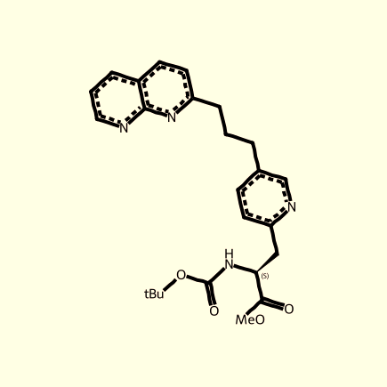 COC(=O)[C@H](Cc1ccc(CCCc2ccc3cccnc3n2)cn1)NC(=O)OC(C)(C)C